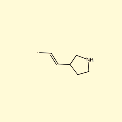 [CH2]/C=C/C1CCNC1